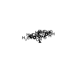 CNC(=O)c1cn(COC(=O)c2ccc(O[PH](=O)O)c(OC)c2)/c(=N/C(=O)C2CC2)cc1Nc1cccc(-c2nnn(C)n2)c1OC